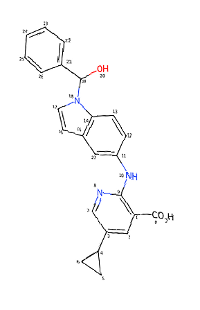 O=C(O)c1cc(C2CC2)cnc1Nc1ccc2c(ccn2C(O)c2ccccc2)c1